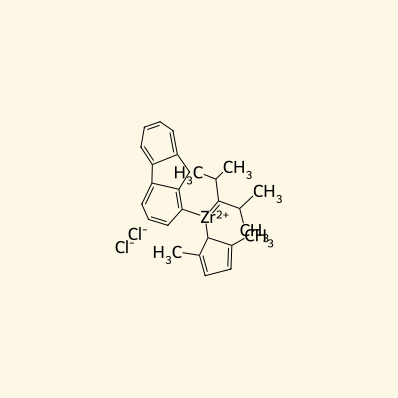 CC1=CC=C(C)[CH]1[Zr+2](=[C](C(C)C)C(C)C)[c]1cccc2c1Cc1ccccc1-2.[Cl-].[Cl-]